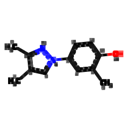 Cc1cc(-n2cc(C)c(C)n2)ccc1O